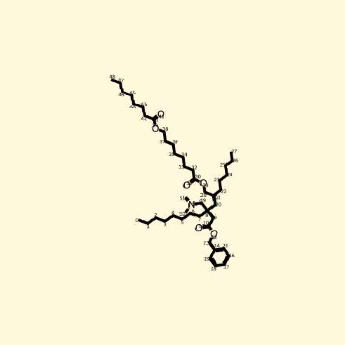 CCCCCCCCC(CC(=O)OCc1ccccc1)(CC(CCCCCC)COC(=O)CCCCCCCOC(=O)CCCCCCC)CN(C)C